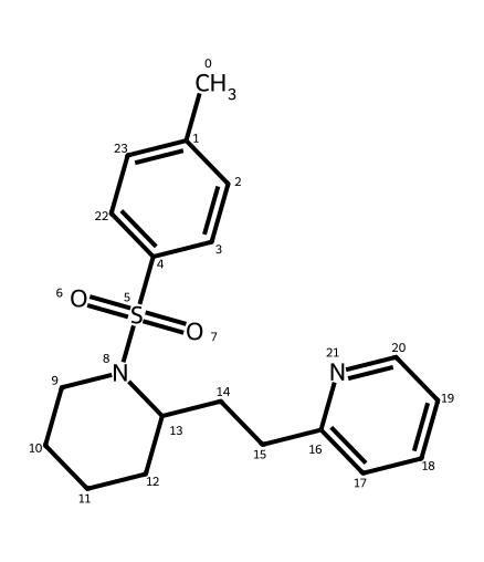 Cc1ccc(S(=O)(=O)N2CCCCC2CCc2ccccn2)cc1